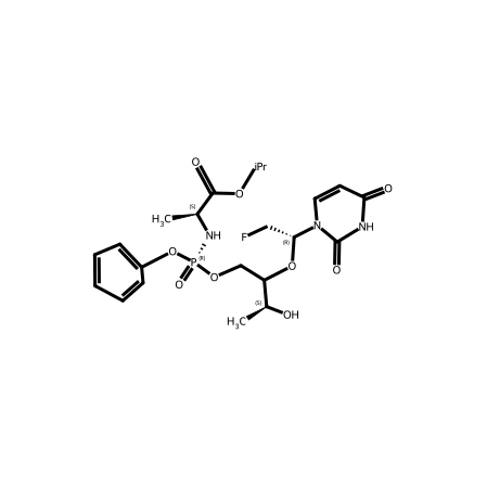 CC(C)OC(=O)[C@H](C)N[P@@](=O)(OCC(O[C@H](CF)n1ccc(=O)[nH]c1=O)[C@H](C)O)Oc1ccccc1